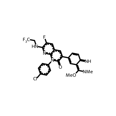 CN/C(OC)=C1/C=C(c2cc3cc(F)c(NCC(F)(F)F)nc3n(-c3ccc(Cl)cc3)c2=O)C=CC1=N